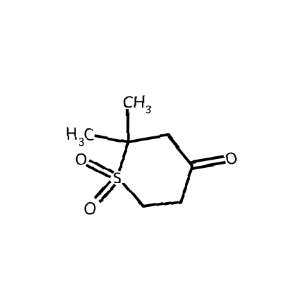 CC1(C)CC(=O)CCS1(=O)=O